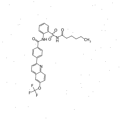 CCCCCC(=O)NS(=O)(=O)c1ccccc1NC(=O)c1ccc(-c2ccc3cc(OC(F)(F)F)ccc3n2)cc1